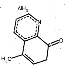 CC1=CCC(=O)c2ncccc21.[AlH3]